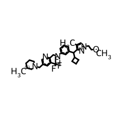 COCCn1cc(C)c(C(c2cccc(NCc3ncc(CN4CCC[C@H](C)C4)cc3C(F)(F)F)c2)C2CCC2)n1